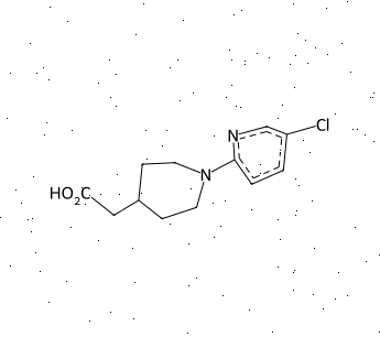 O=C(O)CC1CCN(c2ccc(Cl)cn2)CC1